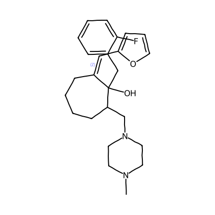 CN1CCN(CC2CCCC/C(=C/c3ccco3)C2(O)Cc2ccccc2F)CC1